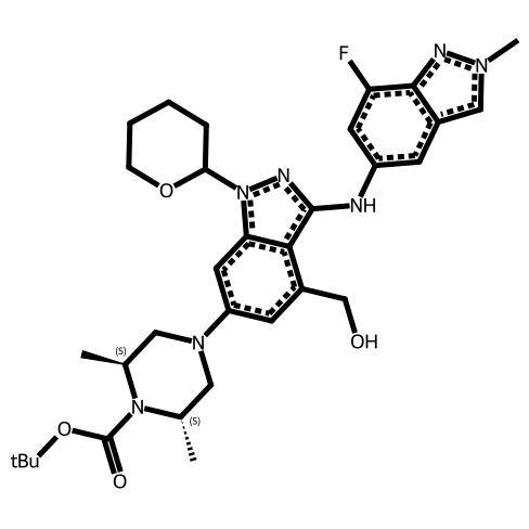 C[C@H]1CN(c2cc(CO)c3c(Nc4cc(F)c5nn(C)cc5c4)nn(C4CCCCO4)c3c2)C[C@H](C)N1C(=O)OC(C)(C)C